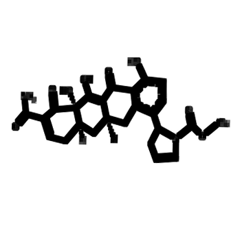 CC(C)(C)OC(=O)N1C=CCC1c1ccc(O)c2c1C[C@H]1C[C@H]3CC=C(C(N)=O)C(=O)[C@@]3(O)C(O)=C1C2=O